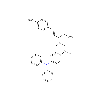 COC/C(C=Cc1ccc(OC)cc1)=C(/C)C=C(C)c1ccc(N(c2ccccc2)c2ccccc2)cc1